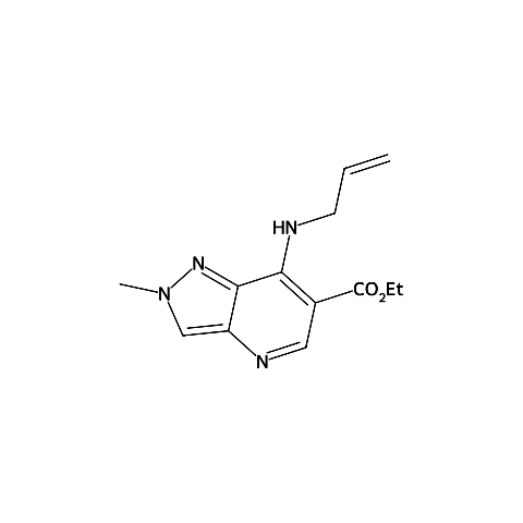 C=CCNc1c(C(=O)OCC)cnc2cn(C)nc12